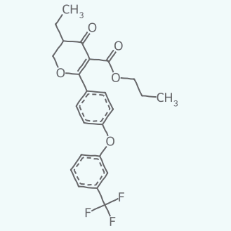 CCCOC(=O)C1=C(c2ccc(Oc3cccc(C(F)(F)F)c3)cc2)OCC(CC)C1=O